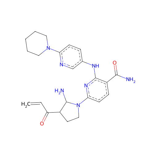 C=CC(=O)C1CCN(c2ccc(C(N)=O)c(Nc3ccc(N4CCCCC4)nc3)n2)C1N